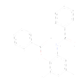 Cc1cc(C)c(OC(=O)c2ccccc2)c(NC(=O)c2ccccc2)c1